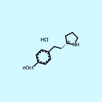 CCCCCCCCc1ccc(CC[C@@H]2CCCN2)cc1.Cl